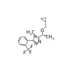 C[C@H](OCC1CC1)c1nnc(-c2ccccc2C(F)(F)F)n1C